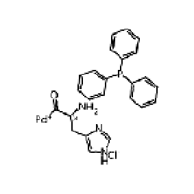 N[C@@H](Cc1c[nH]cn1)[C](=O)[Pd+].[Cl-].c1ccc(P(c2ccccc2)c2ccccc2)cc1